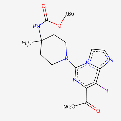 COC(=O)c1nc(N2CCC(C)(NC(=O)OC(C)(C)C)CC2)n2ccnc2c1I